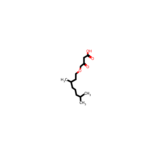 CC(C)CCCC(C)CCOCC(=O)CC(=O)O